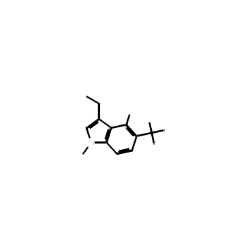 CCc1cn(C)c2ccc(C(F)(F)F)c(F)c12